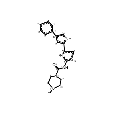 CN1CCN(C(=O)Nc2nc(-c3cc(-c4ccccc4)cs3)cs2)CC1